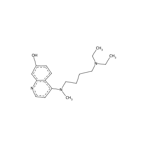 CCN(CC)CCCCN(C)c1ccnc2cc(O)ccc12